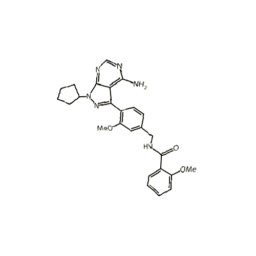 COc1ccccc1C(=O)NCc1ccc(-c2nn(C3CCCC3)c3ncnc(N)c23)c(OC)c1